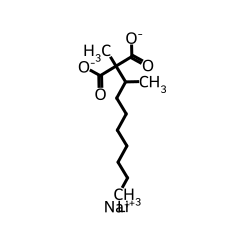 CCCCCCCC(C)C(C)(C(=O)[O-])C(=O)[O-].[Li+].[Na+]